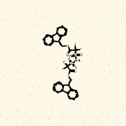 O=C(OCC1c2ccccc2-c2ccccc21)C(F)(F)S(=O)(=O)NS(=O)(=O)C(F)(F)C(=O)OCC1c2ccccc2-c2ccccc21